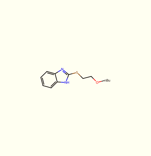 CCCCOCCSc1nc2ccccc2[nH]1